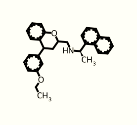 CCOc1cccc(C2CC(CN[C@H](C)c3cccc4ccccc34)Oc3ccccc32)c1